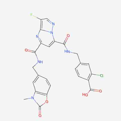 Cn1c(=O)oc2ccc(CNC(=O)c3cc(C(=O)NCc4ccc(C(=O)O)c(Cl)c4)n4ncc(F)c4n3)cc21